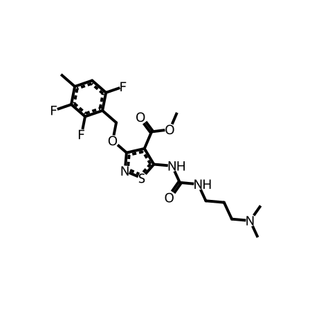 COC(=O)c1c(OCc2c(F)cc(C)c(F)c2F)nsc1NC(=O)NCCCN(C)C